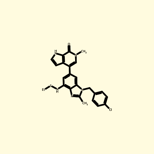 CCSNc1cc(-c2cn(C)c(=O)c3[nH]ccc23)cc2c1nc(C)n2Cc1ccc(Cl)cc1